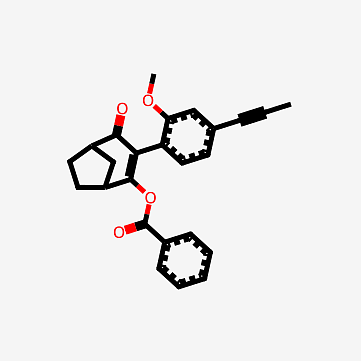 CC#Cc1ccc(C2=C(OC(=O)c3ccccc3)C3CCC(C3)C2=O)c(OC)c1